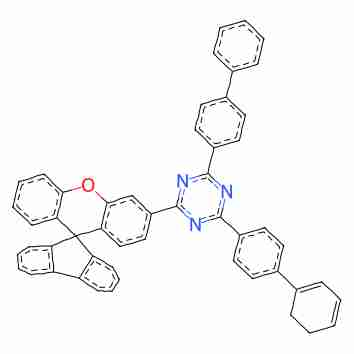 C1=CCCC(c2ccc(-c3nc(-c4ccc(-c5ccccc5)cc4)nc(-c4ccc5c(c4)Oc4ccccc4C54c5ccccc5-c5ccccc54)n3)cc2)=C1